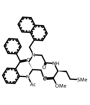 COC(=O)[C@H](CCSC)NC(=O)CN(Cc1cccc2ccccc12)C[C@H](CC(C)C)N(C(C)=O)c1ccccc1C(=O)c1ccccc1